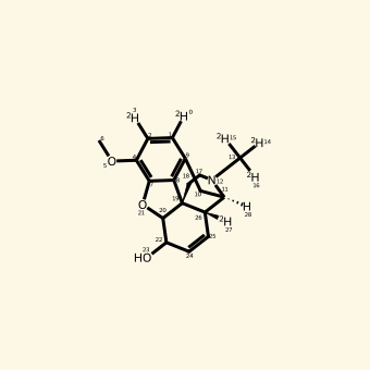 [2H]c1c([2H])c(OC)c2c3c1C[C@H]1N(C([2H])([2H])[2H])CC[C@@]34C(O2)C(O)C=C[C@@]14[2H]